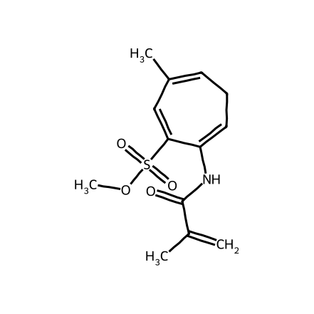 C=C(C)C(=O)NC1=CCC=C(C)C=C1S(=O)(=O)OC